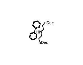 CCCCCCCCCCCCNCCCCCCCCCCCC.c1ccc(-c2ccccc2)cc1